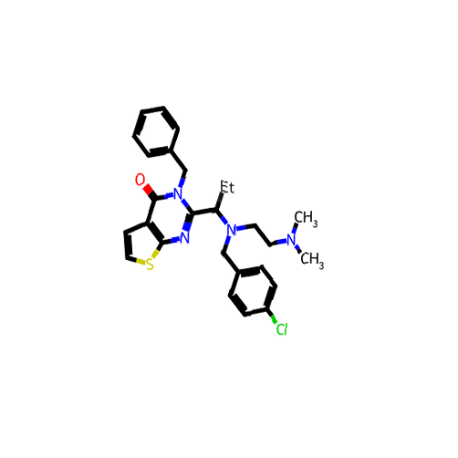 CCC(c1nc2sccc2c(=O)n1Cc1ccccc1)N(CCN(C)C)Cc1ccc(Cl)cc1